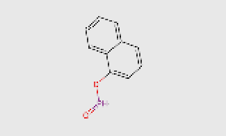 O=[PH]Oc1cccc2ccccc12